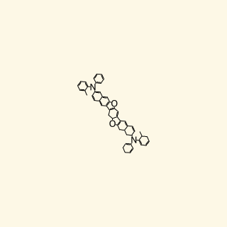 Cc1ccccc1N(c1ccccc1)c1ccc2cc3c4c(oc3cc2c1)C=C1C2=C(CC3CC(N(C5=CCCC=C5)C5=CC=CCC5C)C=CC3=C2)OC1C4